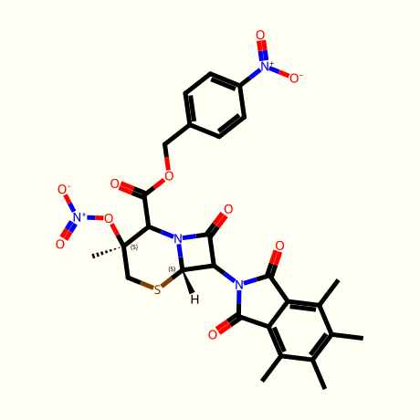 Cc1c(C)c(C)c2c(c1C)C(=O)N(C1C(=O)N3C(C(=O)OCc4ccc([N+](=O)[O-])cc4)[C@](C)(O[N+](=O)[O-])CS[C@@H]13)C2=O